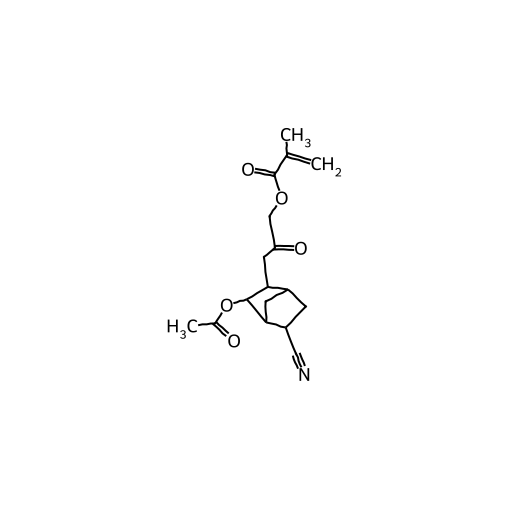 C=C(C)C(=O)OCC(=O)CC1C2CC(C#N)C(C2)C1OC(C)=O